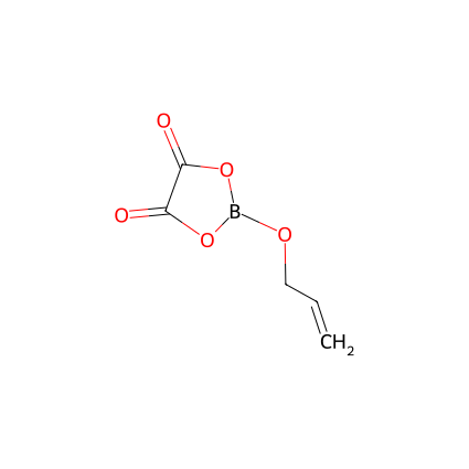 C=CCOB1OC(=O)C(=O)O1